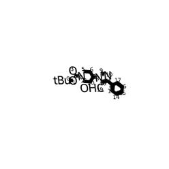 CC(C)(C)OC(=O)N1CCC(n2cnc(-c3ccccc3)c2C=O)CC1